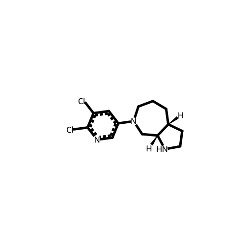 Clc1cc(N2CCC[C@@H]3CCN[C@@H]3C2)cnc1Cl